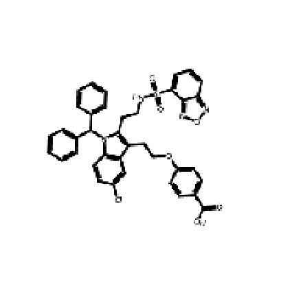 O=C(O)c1ccc(OCCc2c(CCNS(=O)(=O)c3cccc4nonc34)n(C(c3ccccc3)c3ccccc3)c3ccc(Cl)cc23)cc1